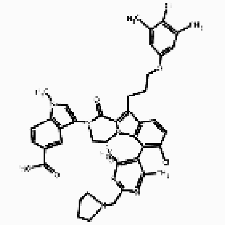 Cc1cc(OCCCc2c3n(c4c(-c5c(C)nc(CN6CCCC6)nc5C)c(Cl)ccc24)[C@H](C)CN(c2cn(C)c4ccc(C(=O)O)cc24)C3=O)cc(C)c1Cl